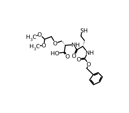 COC(COC[C@H](NC(=O)[C@H](CCS)NC(=O)OCc1ccccc1)C(=O)O)OC